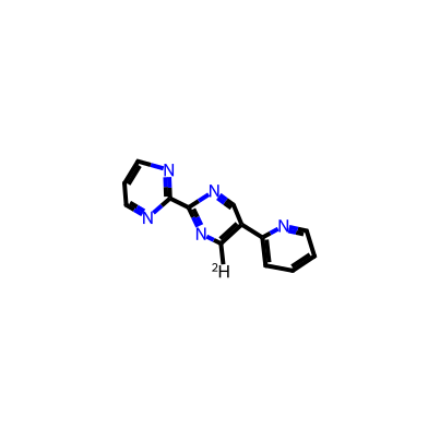 [2H]c1nc(-c2ncccn2)ncc1-c1ccccn1